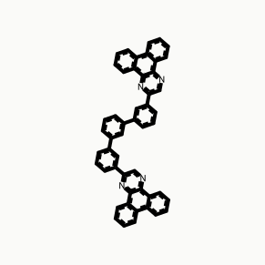 c1cc(-c2cccc(-c3cnc4c5ccccc5c5ccccc5c4n3)c2)cc(-c2cccc(-c3cnc4c5ccccc5c5ccccc5c4n3)c2)c1